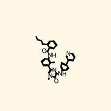 CCCCc1ccccc1C(=O)Nc1cccc(-c2cn(C)c(=O)c(Nc3ccc(-c4cccnc4)cc3)n2)c1C